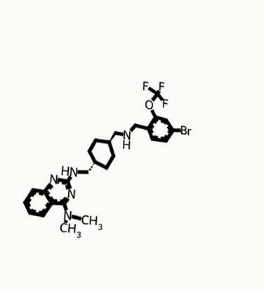 CN(C)c1nc(NC[C@H]2CC[C@H](CNCc3ccc(Br)cc3OC(F)(F)F)CC2)nc2ccccc12